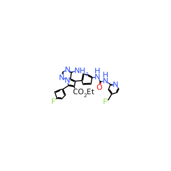 CCOC(=O)c1c(-c2ccc(NC(=O)Nc3cc(CF)ccn3)cc2)c2c(N)ncnn2c1-c1ccc(F)cc1